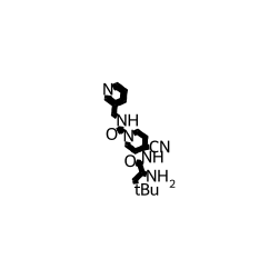 CC(C)(C)CC(N)C(=O)NC1(C#N)CCN(C(=O)NCc2cccnc2)CC1